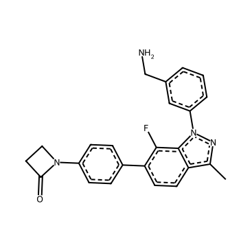 Cc1nn(-c2cccc(CN)c2)c2c(F)c(-c3ccc(N4CCC4=O)cc3)ccc12